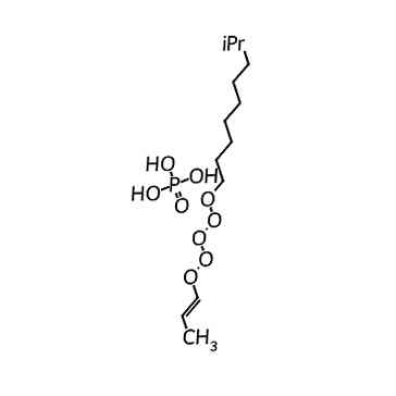 CC=COOOOOCCCCCCCC(C)C.O=P(O)(O)O